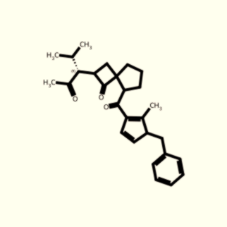 CC(=O)[C@H](C(C)C)C1CC2(CCCC2C(=O)C2=C(C)C(Cc3ccccc3)C=C2)C1=O